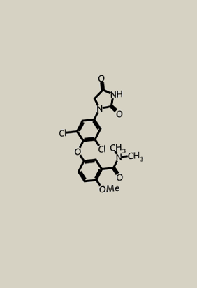 COc1ccc(Oc2c(Cl)cc(N3CC(=O)NC3=O)cc2Cl)cc1C(=O)N(C)C